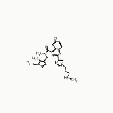 CCn1ncc(CN(C)C(=O)c2nc(-c3cn(CCCNC)cn3)nc3ccc(Cl)cc23)c1C